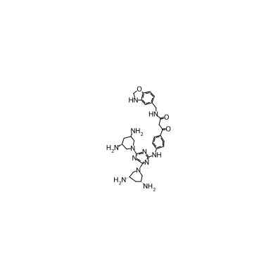 N[C@@H]1C[C@H](N)CN(c2nc(Nc3ccc(C(=O)CC(=O)NCc4ccc5c(c4)NCO5)cc3)nc(N3C[C@H](N)C[C@H](N)C3)n2)C1